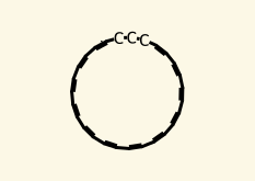 [C]1=C/C=C\C=C/C=C\C=C/C=C\C=C/C=C\C=C/C=C\C=C/C=C\CCC\1